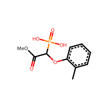 COC(=O)C(Oc1ccccc1C)P(=O)(O)O